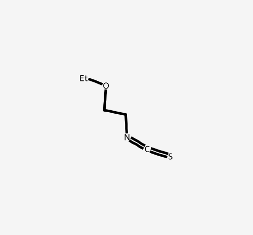 CCOCCN=C=S